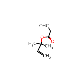 C=CC(C)(C)OC(=O)CC=O